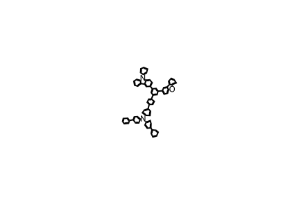 c1ccc(-c2ccc(N(c3ccc(-c4ccccc4)cc3)c3ccc(-c4ccc(-c5cc(-c6ccc7oc8ccccc8c7c6)cc(-c6ccc7c(c6)c6ccccc6n7-c6ccccc6)c5)cc4)cc3)cc2)cc1